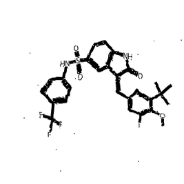 COc1c(I)cc(C=C2C(=O)Nc3ccc(S(=O)(=O)Nc4ccc(C(F)(F)F)cc4)cc32)cc1C(C)(C)C